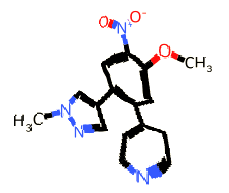 COc1cc(C2=CCN=CC2)c(-c2cnn(C)c2)cc1[N+](=O)[O-]